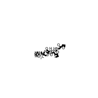 CC(Sc1nnn[nH]1)C1(C(=O)O)CS[C@@H]2C(NC(=O)C(NC(=O)NCC(=O)c3ccco3)c3cccs3)C(=O)N2C1